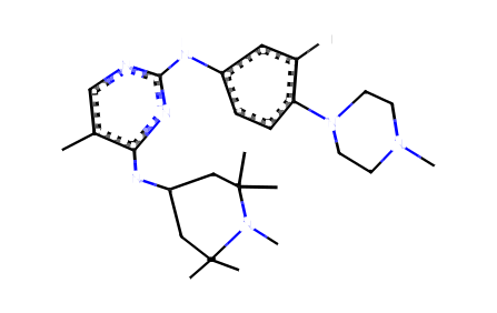 Cc1cnc(Nc2ccc(N3CCN(C)CC3)c(C(F)(F)F)c2)nc1NC1CC(C)(C)N(C)C(C)(C)C1